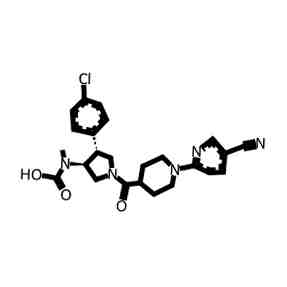 CN(C(=O)O)[C@@H]1CN(C(=O)C2CCN(c3ccc(C#N)cn3)CC2)C[C@H]1c1ccc(Cl)cc1